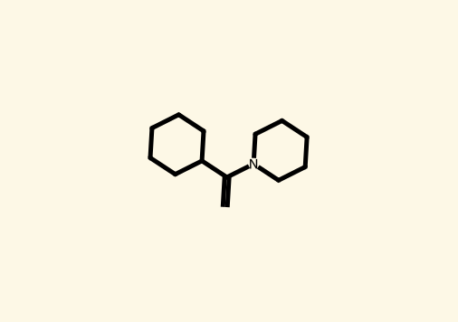 C=C(C1CCCCC1)N1CCCCC1